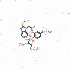 CC(=O)Nc1ccc(S(=O)(=O)NC(C=O)CC(=O)O)c(O[C@H](C)Cn2c(SC(C)C)nc3ccccc32)c1